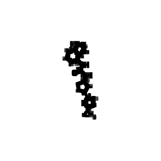 Cc1csc([C@@H]2CC[C@H](NC(=O)Nc3cccc4[nH]ncc34)C2)n1